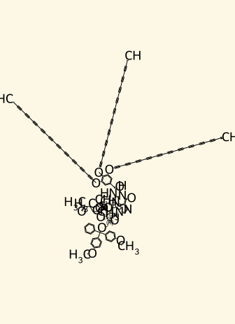 C#CC#CC#CC#CC#CC#CC#CC#CC#CC#CC#COc1cc(C(=O)Nc2nc3c(ncn3[C@@H]3O[C@H](COC(c4ccccc4)(c4ccc(OC)cc4)c4ccc(OC)cc4)[C@H](OC(=O)CCC(C)=O)C3O[Si](C)(C)C(C)(C)C)c(=O)[nH]2)cc(OC#CC#CC#CC#CC#CC#CC#CC#CC#CC#CC#C)c1OC#CC#CC#CC#CC#CC#CC#CC#CC#CC#CC#C